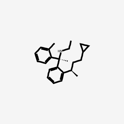 CCN[C@](C)(c1ccccc1C)c1ccccc1[C@H](C)CCC1CC1